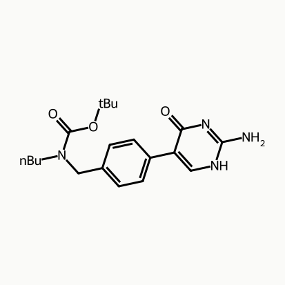 CCCCN(Cc1ccc(-c2c[nH]c(N)nc2=O)cc1)C(=O)OC(C)(C)C